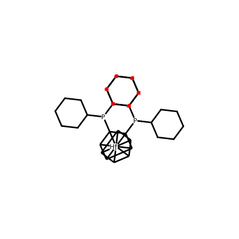 C1CCC(P(C2CCCCC2)[C]23[CH]4[CH]5[CH]6[C]2(P(C2CCCCC2)C2CCCCC2)[Hf]54632789[CH]3[CH]2[CH]7[CH]8[CH]39)CC1